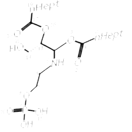 CCCCCCCC(=O)OC(NCCOP(=O)(O)O)[C@H](CO)OC(=O)CCCCCCC